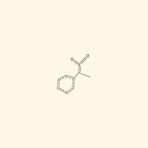 CC(c1ccccc1)=S(=O)=O